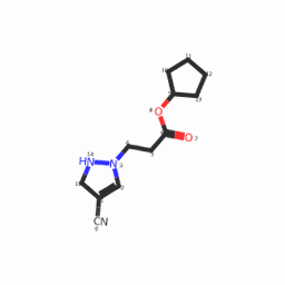 N#CC1=CN(CCC(=O)OC2CCCC2)NC1